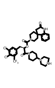 O=C1CC2(CCN(C(=O)O[C@H](Cc3cc(Cl)c(Cl)c(C(F)(F)F)c3)C(=O)N3CCC(N4CCNCC4)CC3)CC2)c2ccccc2N1